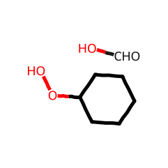 O=CO.OOC1CCCCC1